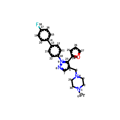 CC(C)N1CCN(Cc2cnn(-c3ccc(-c4ccc(F)cc4)cc3)c2-c2ccco2)CC1